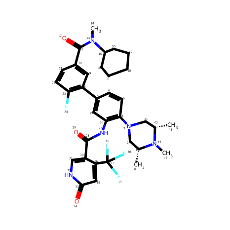 C[C@@H]1CN(c2ccc(-c3cc(C(=O)N(C)C4CCCCC4)ccc3F)cc2NC(=O)c2c[nH]c(=O)cc2C(F)(F)F)C[C@H](C)N1C